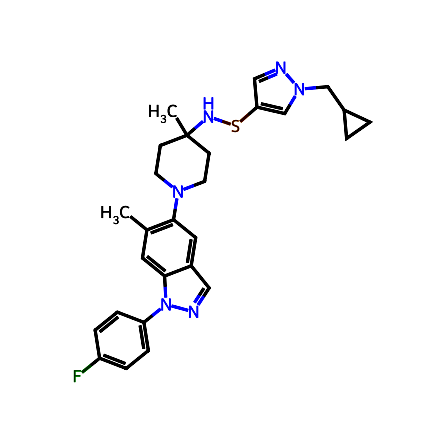 Cc1cc2c(cnn2-c2ccc(F)cc2)cc1N1CCC(C)(NSc2cnn(CC3CC3)c2)CC1